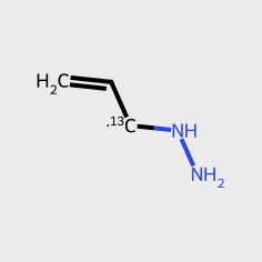 C=C[13CH]NN